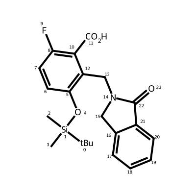 CC(C)(C)[Si](C)(C)Oc1ccc(F)c(C(=O)O)c1CN1Cc2ccccc2C1=O